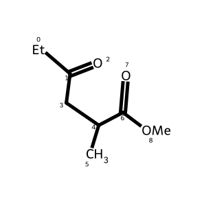 CCC(=O)CC(C)C(=O)OC